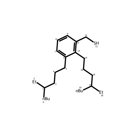 CCCCC(CC)CCCc1cccc(CS)c1CCCC(CC)CCCC